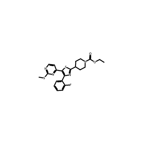 CCOC(=O)N1CCC(c2nc(-c3ccccc3F)c(-c3ccnc(SC)n3)s2)CC1